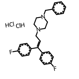 Cl.Cl.Fc1ccc(C(=CCN2CCN(Cc3ccccc3)CC2)c2ccc(F)cc2)cc1